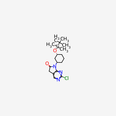 CC(C)(C)[Si](C)(C)O[C@@H]1CCC[C@@H](N2C(=O)Cc3cnc(Cl)nc32)C1